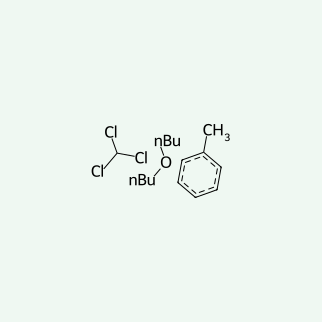 CCCCOCCCC.Cc1ccccc1.ClC(Cl)Cl